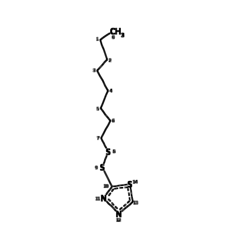 CCCCCCCCSSc1nncs1